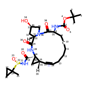 CC(C)(C)OC(=O)N[C@H]1CCCCC/C=C\[C@@H]2C[C@@]2(C(=O)N[S+]([O-])C2(C)CC2)NC(=O)[C@@H]2C[C@@H](O)CN2C1=O